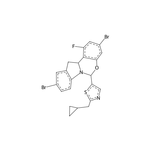 Fc1cc(Br)cc2c1C1Cc3cc(Br)ccc3N1C(c1cnc(CC3CC3)s1)O2